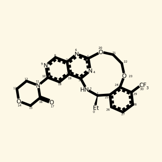 CC[C@H]1Nc2nc(nc3cnc(N4CCOCC4=O)cc23)OCCOc2c1cccc2C(F)(F)F